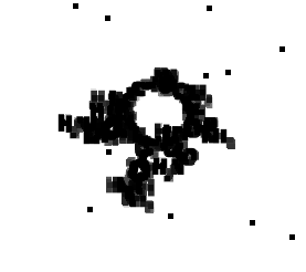 N=C(N)Nc1ccc(CC[C@H]2NC(=O)[C@@H](CCC(N)=O)NC(=O)C(CCC(N)=O)NC(=O)[C@@H](N)Cc3cn(nn3)CCCCC(C(N)=O)NC(=O)[C@@H](Cc3ccc(NC(=N)N)cc3)NC2=O)cc1